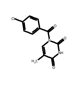 Cc1cn(C(=O)c2ccc(Cl)cc2)c(=O)[nH]c1=O